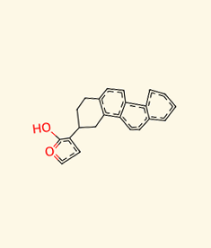 Oc1occc1C1CCc2ccc3c(ccc4ccccc43)c2C1